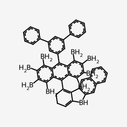 Bc1c(B)c(B)c2c(-c3cc(-c4ccccc4)cc(-c4ccccc4)c3)c3c(B)c(B)c(B)c(B)c3c(C3=C4C(=CCC3)Bc3cc5ccccc5cc34)c2c1B